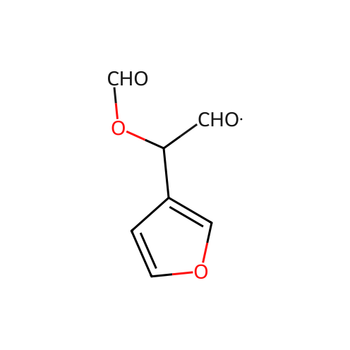 O=[C]C(OC=O)c1ccoc1